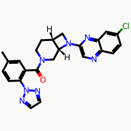 Cc1ccc(-n2nccn2)c(C(=O)N2CC[C@@H]3CN(c4cnc5ccc(Cl)cc5n4)[C@@H]3C2)c1